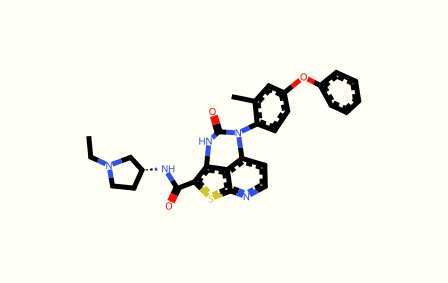 CCN1CC[C@@H](NC(=O)c2sc3nccc4c3c2NC(=O)N4c2ccc(Oc3ccccc3)cc2C)C1